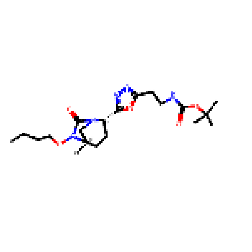 CCCCON1C(=O)N2C[C@@H]1CC[C@H]2c1nnc(CCNC(=O)OC(C)(C)C)o1